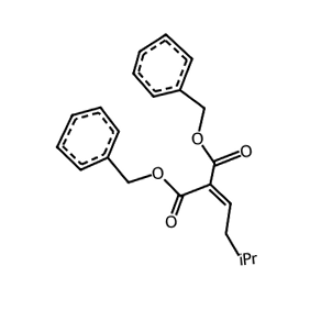 CC(C)CC=C(C(=O)OCc1ccccc1)C(=O)OCc1ccccc1